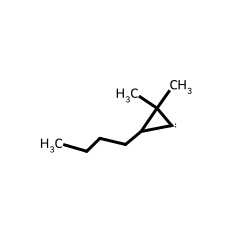 CCCCC1[C]C1(C)C